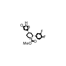 COC(=O)N1CC[C@H](c2cc(=O)[nH]o2)C[C@@H]1c1ccc(F)c(F)c1